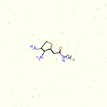 CNC(=O)CC1SCC(N)C1N